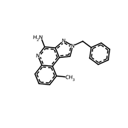 Cc1cccc2nc(N)c3nn(Cc4ccccc4)cc3c12